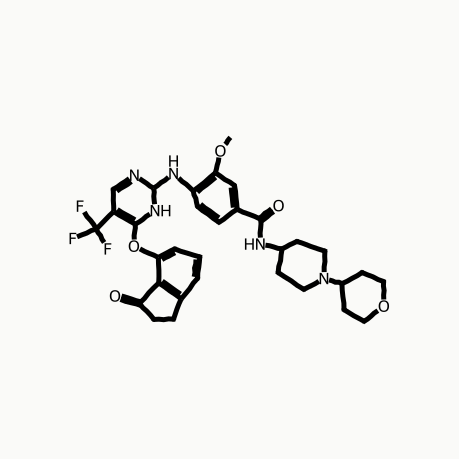 COc1cc(C(=O)NC2CCN(C3CCOCC3)CC2)ccc1NC1N=CC(C(F)(F)F)=C(Oc2cccc3c2C(=O)CC3)N1